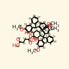 COc1ccc(C(c2ccccc2)(c2ccc(OC)cc2)C2C[C@@H](C(c3ccccc3)(c3ccc(OC)cc3)c3ccc(OC)cc3)[C@@H](O)C(O)(OC(=O)CCC(=O)O)C2)cc1